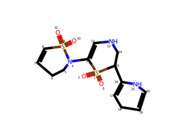 O=S1(=O)C(N2CCC=CS2(=O)=O)=CNCC1C1=CCC=CN1